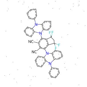 N#Cc1c(C#N)c(N2c3ccccc3N(c3ccccc3)c3ccccc32)c2c(c1N1c3ccccc3N(c3ccccc3)c3ccccc31)C(F)(F)CC2(F)F